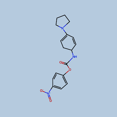 O=C(NC1C=CC(N2CCCC2)=CC1)Oc1ccc([N+](=O)[O-])cc1